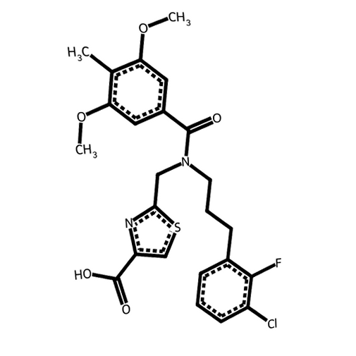 COc1cc(C(=O)N(CCCc2cccc(Cl)c2F)Cc2nc(C(=O)O)cs2)cc(OC)c1C